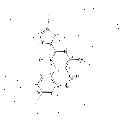 CCN1C(c2ncc(F)s2)=NC(C)=C(C(=O)O)C1c1ccc(F)cc1Br